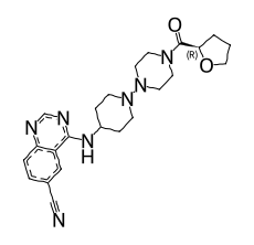 N#Cc1ccc2ncnc(NC3CCN(N4CCN(C(=O)[C@H]5CCCO5)CC4)CC3)c2c1